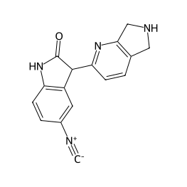 [C-]#[N+]c1ccc2c(c1)C(c1ccc3c(n1)CNC3)C(=O)N2